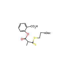 CCCCCCCCCCCCSC(=S)C(C)C(=O)Oc1ccccc1C(=O)O